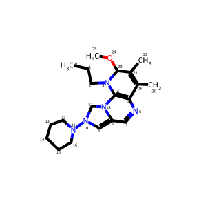 CCCN1C2=C(N=CC3=CN(N4CCCCC4)CN32)C(C)=C(C)C1OC